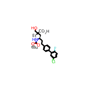 CCC(CO)(C[C@@H](CCc1ccc(-c2cc(Cl)ccc2F)cc1)NC(=O)OC(C)(C)C)C(=O)O